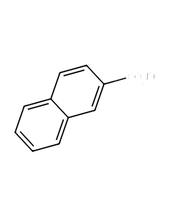 CCOC(=O)c1ccc2cc[c]cc2c1